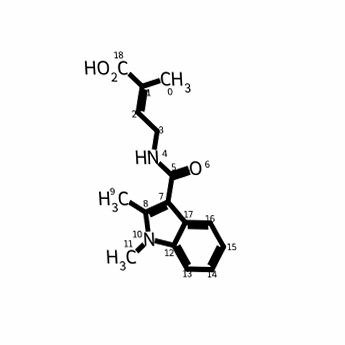 CC(=CCNC(=O)c1c(C)n(C)c2ccccc12)C(=O)O